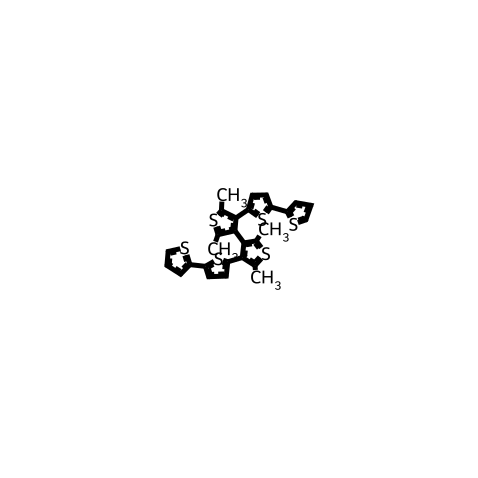 Cc1sc(C)c(-c2c(C)sc(C)c2-c2ccc(-c3cccs3)s2)c1-c1ccc(-c2cccs2)s1